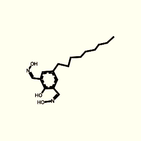 CCCCCCCCCc1cc(/C=N\O)c(O)c(/C=N\O)c1